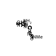 CNC(=O)C(C)(C)n1cc(N2CCC[C@@H](c3nc4c(C)c(-c5ncco5)nc(N)n4n3)C2)cn1